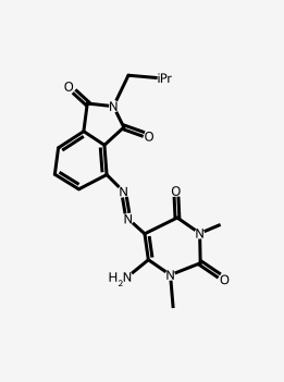 CC(C)CN1C(=O)c2cccc(N=Nc3c(N)n(C)c(=O)n(C)c3=O)c2C1=O